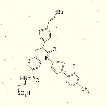 CC(C)(C)/C=C/c1ccc(C(Cc2ccc(C(=O)NCCS(=O)(=O)O)cc2)C(=O)Nc2ccc(-c3ccc(C(F)(F)F)cc3F)cc2)cc1